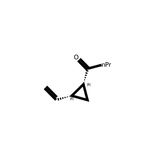 C=C[C@H]1C[C@H]1C(=O)CCC